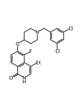 CCc1c[nH]c(=O)c2ccc(OC3CCN(Cc4cc(Cl)cc(Cl)c4)CC3)c(F)c12